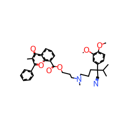 COc1ccc(C(C#N)(CCCN(C)CCCOC(=O)c2cccc3c(=O)c(C)c(-c4ccccc4)oc23)C(C)C)cc1OC